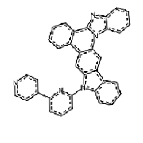 c1cc(-c2ccncc2)nc(-n2c3ccccc3c3cc4c(cc32)c2ccccc2c2nc3ccccc3n42)c1